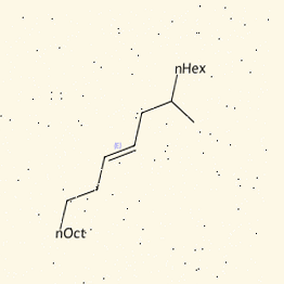 [CH2]CCCCCCCCC/C=C/CC(C)CCCCCC